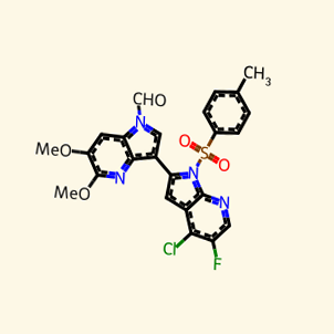 COc1cc2c(nc1OC)c(-c1cc3c(Cl)c(F)cnc3n1S(=O)(=O)c1ccc(C)cc1)cn2C=O